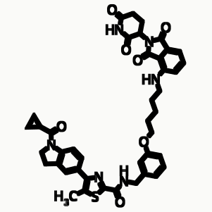 Cc1sc(C(=O)NCc2cccc(OCCCCCNc3cccc4c3C(=O)N(C3CCC(=O)NC3=O)C4=O)c2)nc1-c1ccc2c(c1)CCN2C(=O)C1CC1